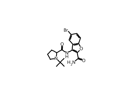 CC(C)(C)N1CCCC1C(=O)Nc1c(C(N)=O)oc2ccc(Br)cc12